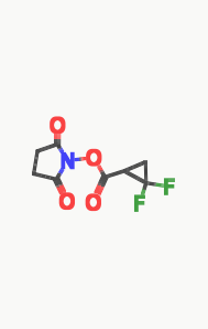 O=C(ON1C(=O)CCC1=O)C1CC1(F)F